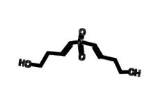 O=S(=O)(C=CCCO)C=CCCO